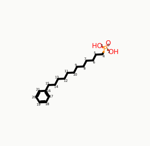 O=P(O)(O)CCCCCCCCCCCCc1ccccc1